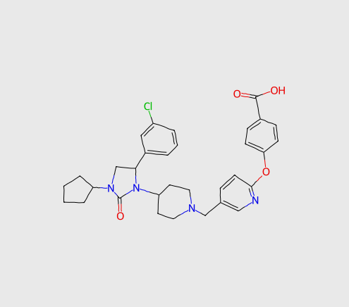 O=C(O)c1ccc(Oc2ccc(CN3CCC(N4C(=O)N(C5CCCC5)CC4c4cccc(Cl)c4)CC3)cn2)cc1